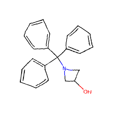 OC1CN(C(c2ccccc2)(c2ccccc2)c2ccccc2)C1